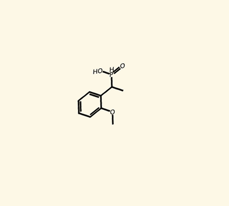 COc1ccccc1C(C)[PH](=O)O